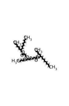 CCCCCCCCCC(CCCCC)COC(=O)CCOCC(COCCCC)OCCC(=O)OCC(CCCCCC)CCCCCCCC